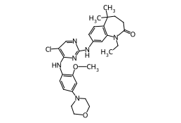 CCN1C(=O)CCC(C)(C)c2ccc(Nc3ncc(Cl)c(Nc4ccc(N5CCOCC5)cc4OC)n3)cc21